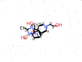 CCC(=O)C1(N2c3ccc4c(c3)[N+]2(O)C(CC)N4O)C=CN(CCO)C=C1